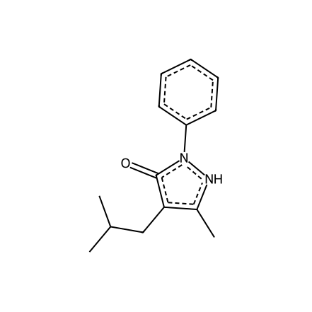 Cc1[nH]n(-c2ccccc2)c(=O)c1CC(C)C